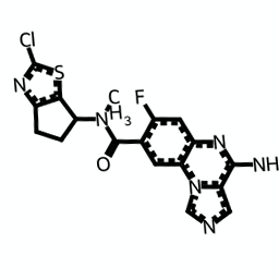 CN(C(=O)c1cc2c(cc1F)nc(N)c1cncn12)C1CCc2nc(Cl)sc21